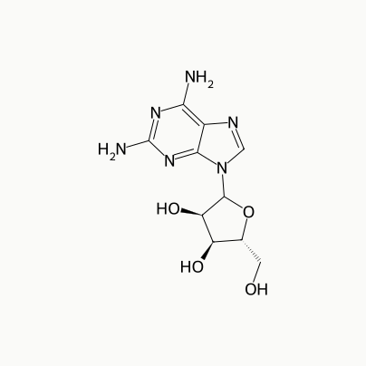 Nc1nc(N)c2ncn(C3O[C@H](CO)[C@@H](O)[C@H]3O)c2n1